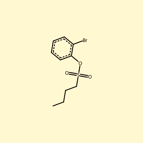 CCCCS(=O)(=O)Oc1ccccc1Br